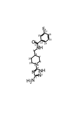 Nc1n[nH]c(N2CCC(CNC(=O)c3cccc(F)c3)CC2)n1